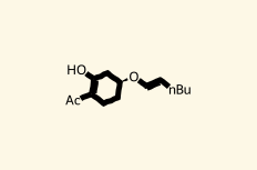 CCCC/C=C/O[C@@H]1CCC(C(C)=O)=C(O)C1